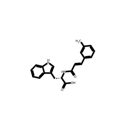 Cc1cccc(/C=C/C(=O)N[C@@H](Cc2c[nH]c3ccccc23)C(=O)O)c1